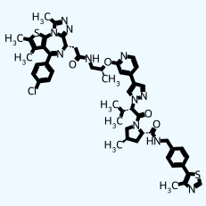 Cc1ncsc1-c1ccc(CNC(=O)[C@@H]2C[C@@H](C)CN2C(=O)[C@H](C(C)C)n2cc(-c3ccnc(O[C@H](C)CNC(=O)C[C@@H]4N=C(c5ccc(Cl)cc5)c5c(sc(C)c5C)-n5c(C)nnc54)c3)cn2)cc1